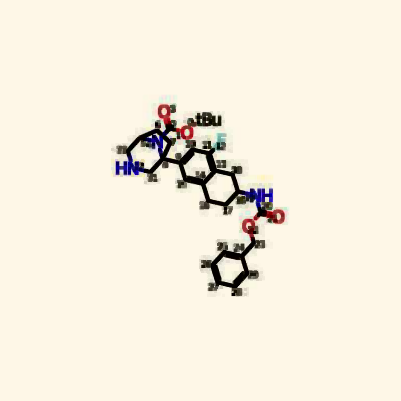 CC(C)(C)OC(=O)N1C2CCC1(c1cc(F)c3c(c1)CCC(NC(=O)OCc1ccccc1)C3)CNC2